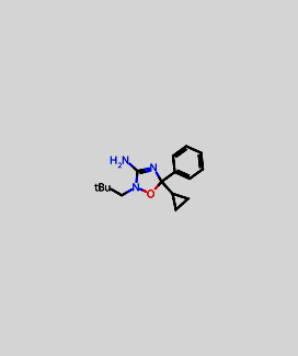 CC(C)(C)CN1OC(c2ccccc2)(C2CC2)N=C1N